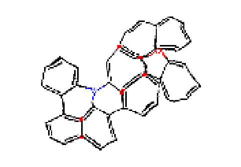 c1ccc(-c2ccccc2N(c2ccc3oc4ccccc4c3c2)c2ccccc2-c2cccc(-c3cccc4ccccc34)c2)cc1